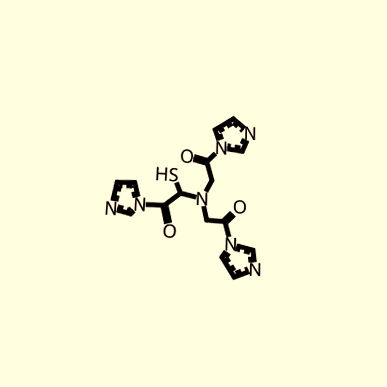 O=C(CN(CC(=O)n1ccnc1)C(S)C(=O)n1ccnc1)n1ccnc1